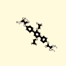 C=C(C)C(=O)Oc1ccc(-c2cc(OC=C(F)F)c(-c3ccc(OC(=O)C(=C)C)cc3)cc2OC=C(F)F)cc1